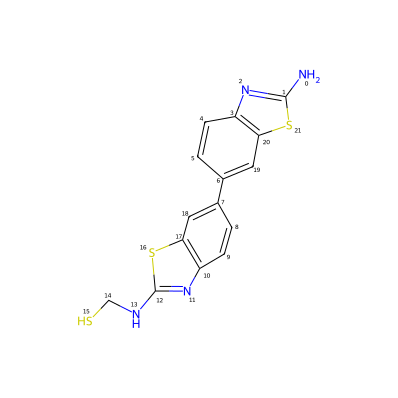 Nc1nc2ccc(-c3ccc4nc(NCS)sc4c3)cc2s1